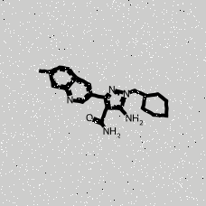 Cc1ccc2cc(-c3nn(CC4CCCCC4)c(N)c3C(N)=O)cnc2c1